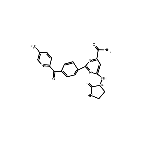 NC(=O)c1cc(N[C@H]2CCNC2=O)nc(-c2ccc(C(=O)c3ccc(C(F)(F)F)cn3)cc2)n1